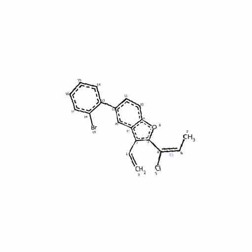 C=Cc1c(/C(Cl)=C\C)oc2ccc(-c3ccccc3Br)cc12